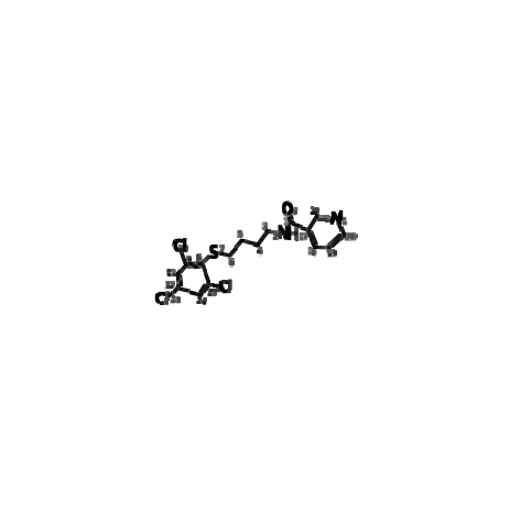 O=C(NCCCCSc1c(Cl)cc(Cl)cc1Cl)c1cccnc1